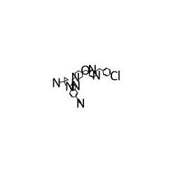 N#Cc1ccc2c(c1)nc(CN1CCC(Oc3ccnc(Cc4ccc(Cl)cc4)n3)CC1)n2CC1(C#N)CC1